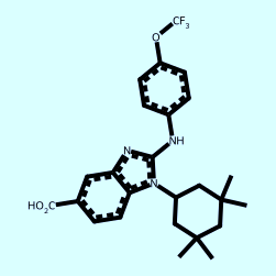 CC1(C)CC(n2c(Nc3ccc(OC(F)(F)F)cc3)nc3cc(C(=O)O)ccc32)CC(C)(C)C1